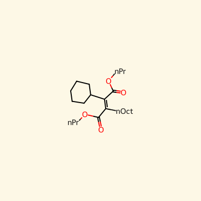 CCCCCCCCC(C(=O)OCCC)=C(C(=O)OCCC)C1CCCCC1